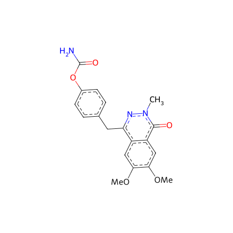 COc1cc2c(Cc3ccc(OC(N)=O)cc3)nn(C)c(=O)c2cc1OC